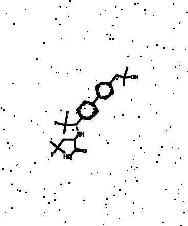 CC(C)(O)Cc1ccc(-c2ccc([C@H](NC(CC(C)(C)F)C(=O)O)C(F)(F)F)cc2)cc1